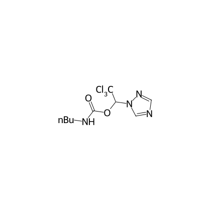 CCCCNC(=O)OC(n1cncn1)C(Cl)(Cl)Cl